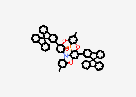 Cc1ccc2c(c1)Oc1cc(-c3ccc4c(c3)C3(c5ccccc5-c5ccccc53)c3ccccc3-4)c3c4c1N2c1ccc(-c2ccc5c(c2)C2(c6ccccc6-c6ccccc62)c2ccccc2-5)c2c1P4(=O)c1c(cc(C)cc1O3)O2